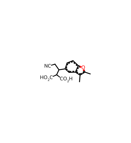 Cc1oc2ccc(C(CC#N)C(C(=O)O)C(=O)O)cc2c1C